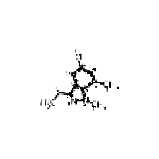 CCc1nn(C)c2c(C)cc(Cl)cc12